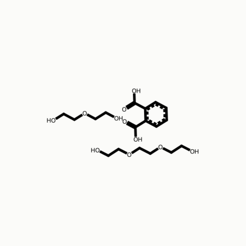 O=C(O)c1ccccc1C(=O)O.OCCOCCO.OCCOCCOCCO